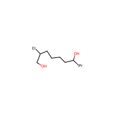 CCC(CO)CCCCC(O)C(C)C